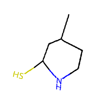 CC1CCNC(S)C1